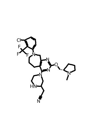 CN1CCC[C@H]1COc1nc2c(c(N3CCNC(CC#N)C3)n1)CCCN(c1cccc(Cl)c1C(F)(F)F)C2